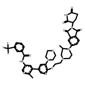 Cc1ncc(NC(=O)c2cccc(C(F)(F)F)c2)cc1-c1cnc(OCCN2CCN(c3ccc4c(c3)C(=O)N(C3CCC(=O)NC3=O)C4=O)C(C)C2)c(N2CCOCC2)c1